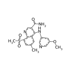 COc1cncc(Nc2c(C(N)=O)cnc3c(S(C)(=O)=O)cc(C)cc23)c1